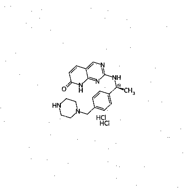 C[C@H](Nc1ncc2ccc(=O)[nH]c2n1)c1ccc(CN2CCNCC2)cc1.Cl.Cl